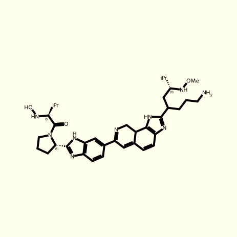 CON[C@H](CC(CCCN)c1nc2c([nH]1)C1CN=C(c3ccc4nc([C@@H]5CCCN5C(=O)[C@@H](NO)C(C)C)[nH]c4c3)C=C1C=C2)C(C)C